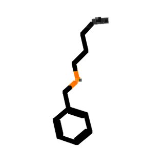 CCCCCCCCC[P]Cc1ccccc1